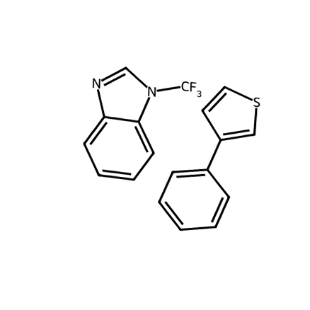 FC(F)(F)n1cnc2ccccc21.c1ccc(-c2ccsc2)cc1